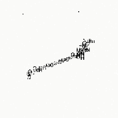 CC1CC(=O)N(C[C@H]2CC[C@H](C(=O)NCCOCCOCCOCCOCCOCCOCCOCCOCCOCC(=O)NCC(=O)NCC(=O)N[C@@H](Cc3ccccc3)C(=O)NCC(=O)NCO[C@H](C(=O)C(C)(C)C)C3CC3)CC2)C1=O